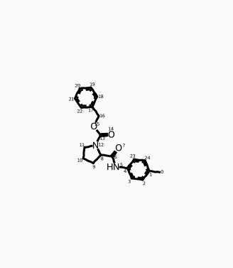 Cc1ccc(NC(=O)C2CCCN2C(=O)OCc2ccccc2)cc1